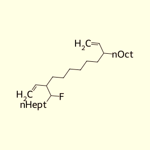 C=CC(CCCCCCCC)CCCCCCC(C=C)C(F)CCCCCCC